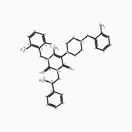 Cc1c(N2CCN(Cc3ccccc3N)CC2)c(=O)n(C[C@H](N)c2ccccc2)c(=O)n1Cc1c(F)cccc1C(F)(F)F